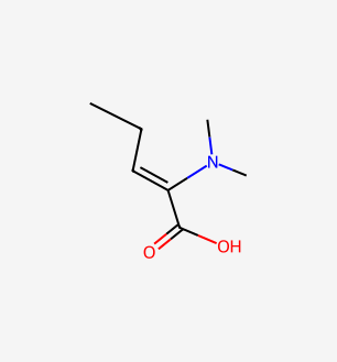 CCC=C(C(=O)O)N(C)C